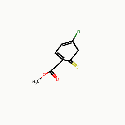 COC(=O)C1=CC=C(Cl)CC1=S